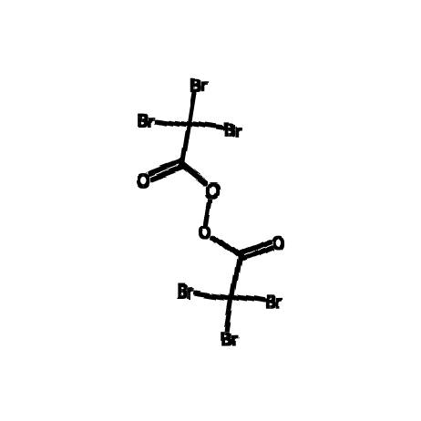 O=C(OOC(=O)C(Br)(Br)Br)C(Br)(Br)Br